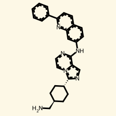 NC[C@H]1CC[C@H](c2ncc3c(Nc4ccc5ccc(-c6ccccc6)nc5c4)nccn32)CC1